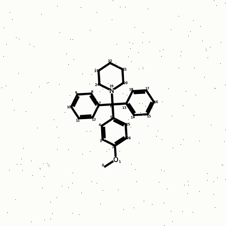 COc1ccc(C(c2ccccc2)(c2ccccc2)N2CCCCC2)cc1